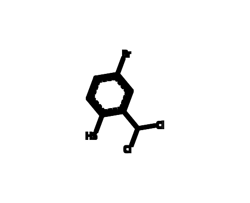 Sc1ccc(Br)cc1C(Cl)Cl